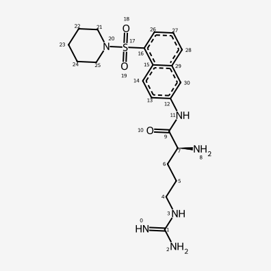 N=C(N)NCCC[C@H](N)C(=O)Nc1ccc2c(S(=O)(=O)N3CCCCC3)cccc2c1